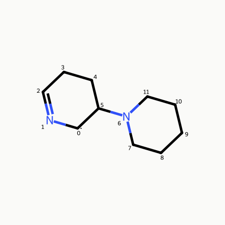 [CH]1N=CCCC1N1CCCCC1